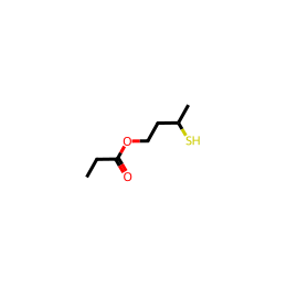 CCC(=O)OCCC(C)S